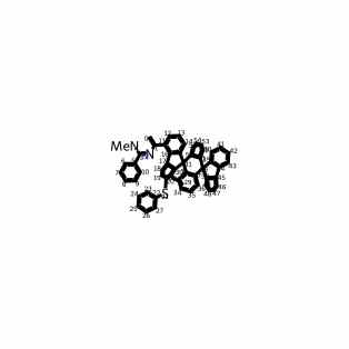 C=C(/N=C(\NC)c1ccccc1)c1cccc2c1-c1ccc(Sc3ccccc3)c(C)c1C21c2ccccc2C2(c3ccccc3-c3ccccc32)c2ccccc21